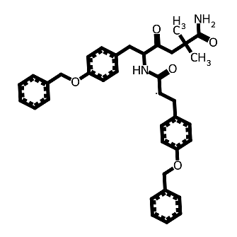 CC(C)(CC(=O)C(Cc1ccc(OCc2ccccc2)cc1)NC(=O)[CH]Cc1ccc(OCc2ccccc2)cc1)C(N)=O